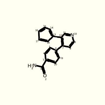 NC(=O)c1ccc(-c2ccncc2-c2ccccc2)cc1